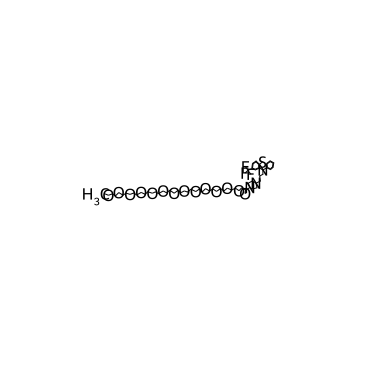 COCCOCCOCCOCCOCCOCCOCCOCCOCCOCCOCCOCCOCC(=O)N1CCN(CCCN2c3ccccc3Sc3ccc(C(F)(F)F)cc32)CC1